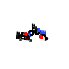 CC(C)(C)OC(=O)N1CCC(C)(c2ccc(NC(=O)CC3CC3)nc2)CC1